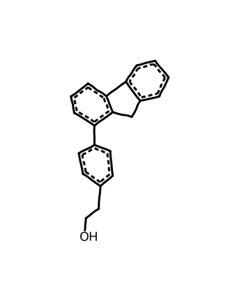 OCCc1ccc(-c2cccc3c2Cc2ccccc2-3)cc1